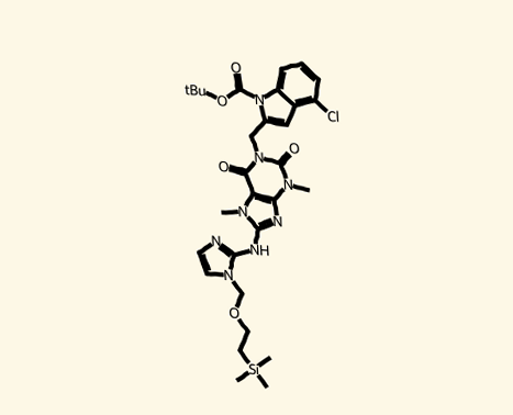 Cn1c(Nc2nccn2COCC[Si](C)(C)C)nc2c1c(=O)n(Cc1cc3c(Cl)cccc3n1C(=O)OC(C)(C)C)c(=O)n2C